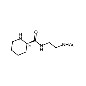 CC(=O)NCCNC(=O)[C@H]1CCCCN1